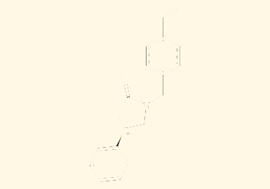 CCc1ccc(CN2C[C@@H](c3ccccc3)OC2=O)cc1